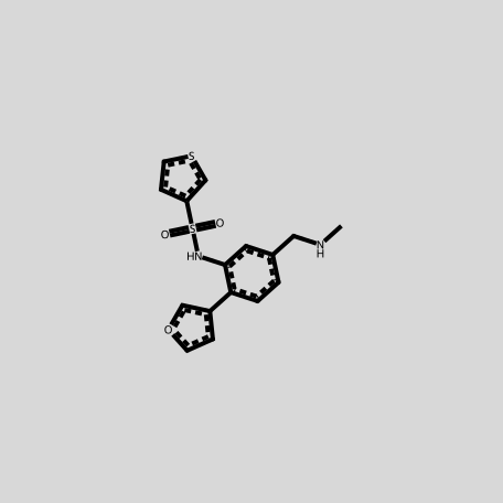 CNCc1ccc(-c2ccoc2)c(NS(=O)(=O)c2ccsc2)c1